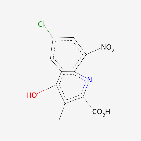 Cc1c(C(=O)O)nc2c([N+](=O)[O-])cc(Cl)cc2c1O